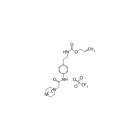 C=CCOC(=O)NCCc1ccc(NC(=O)C[N+]23CCN(CC2)CC3)cc1.O=S(=O)([O-])C(F)(F)F